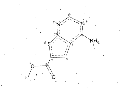 COC(=O)c1cc2c(N)ncnc2s1